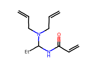 [CH2]CC(NC(=O)C=C)N(CC=C)CC=C